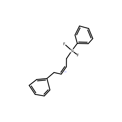 F[Si](F)(C/C=C\Cc1ccccc1)c1ccccc1